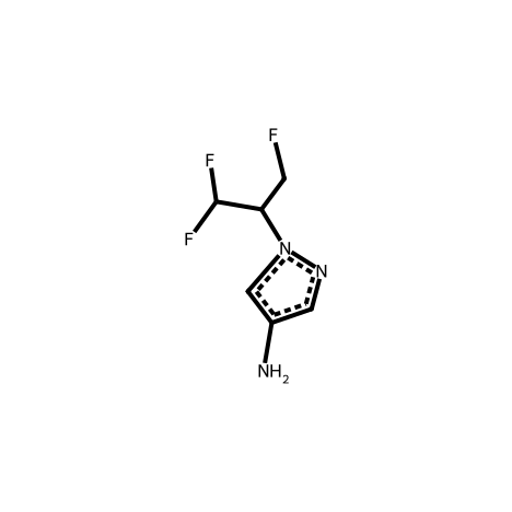 Nc1cnn(C(CF)C(F)F)c1